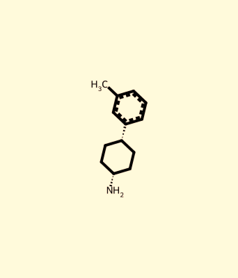 Cc1cccc([C@H]2CC[C@@H](N)CC2)c1